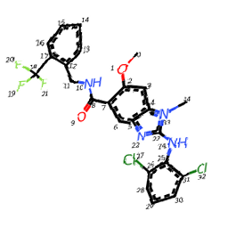 COc1cc2c(cc1C(=O)NCc1ccccc1C(F)(F)F)nc(Nc1c(Cl)cccc1Cl)n2C